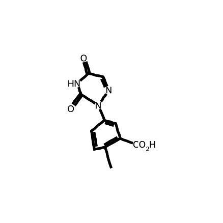 Cc1ccc(-n2ncc(=O)[nH]c2=O)cc1C(=O)O